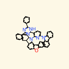 C1=CC2c3ccc4oc5ccccc5c4c3N(c3nc(-n4c5ccccc5c5ccccc54)ccc3C3N=C(c4ccccc4)N=C(c4ccccc4)N3)C2C=C1